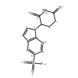 O=C1CCC(n2ccc3cc(S(=O)(=O)F)cnc32)C(=O)N1